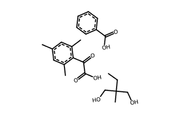 CCC(C)(CO)CO.Cc1cc(C)c(C(=O)C(=O)O)c(C)c1.O=C(O)c1ccccc1